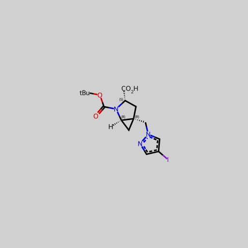 CC(C)(C)OC(=O)N1[C@H](C(=O)O)C[C@@]2(Cn3cc(I)cn3)C[C@@H]12